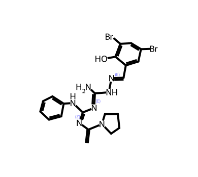 C=C(/N=C(\N=C(/N)N/N=C/c1cc(Br)cc(Br)c1O)Nc1ccccc1)N1CCCC1